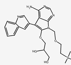 C[Si](C)(C)CCOCn1c(OCC(O)CO)c(-c2cnc3ccccc3c2)c2c(N)ncnc21